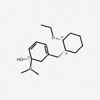 CCO[C@@H]1CCCC[C@@H]1CC1=CC=C[C@](O)(N(C)C)C1